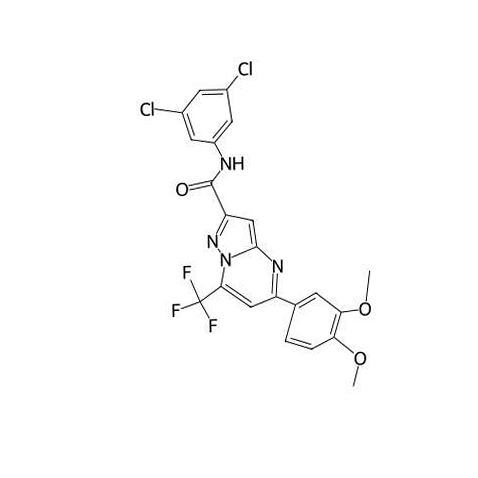 COc1ccc(-c2cc(C(F)(F)F)n3nc(C(=O)Nc4cc(Cl)cc(Cl)c4)cc3n2)cc1OC